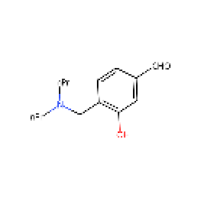 CCCN(CCC)Cc1ccc(C=O)cc1O